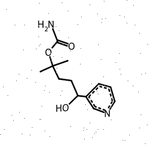 CC(C)(CCC(O)c1cccnc1)OC(N)=O